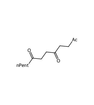 CCCCCC(=O)CCC(=O)CCC(C)=O